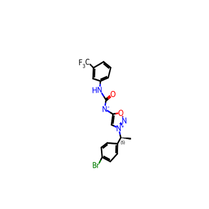 C[C@@H](c1ccc(Br)cc1)[n+]1cc([N-]C(=O)Nc2cccc(C(F)(F)F)c2)on1